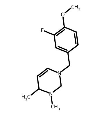 COc1ccc(CN2C=CC(C)N(C)C2)cc1F